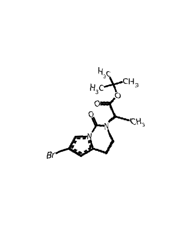 CC(C(=O)OC(C)(C)C)N1CCc2cc(Br)cn2C1=O